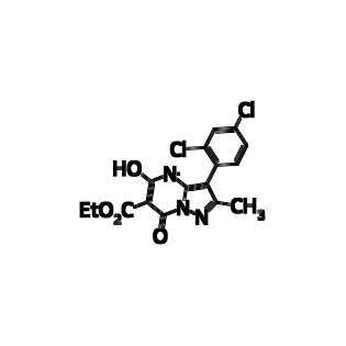 CCOC(=O)C1=C(O)[N]c2c(-c3ccc(Cl)cc3Cl)c(C)nn2C1=O